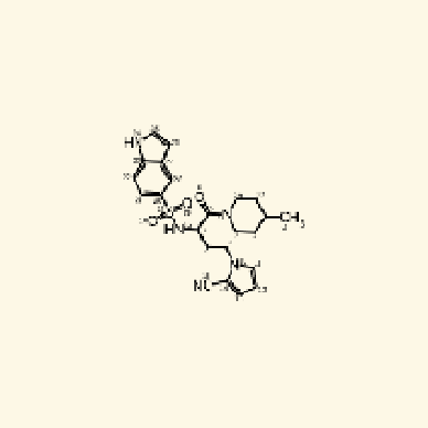 CC1CCN(C(=O)C(CCn2cccc2C#N)NS(=O)(=O)c2ccc3[nH]ccc3c2)CC1